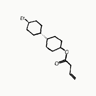 C=CCC(=O)OC1CCC([C@H]2CC[C@H](CC)CC2)CC1